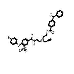 C#CCN(CCNC(=O)c1ccc(Sc2ccc(F)cc2)c([N+](=O)[O-])c1)CCOC(=O)c1ccc(C(=O)c2ccccc2)cc1